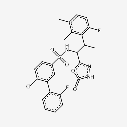 Cc1ccc(F)c(C(C)C(NS(=O)(=O)c2ccc(Cl)c(-c3ccccc3F)c2)c2n[nH]c(=O)o2)c1C